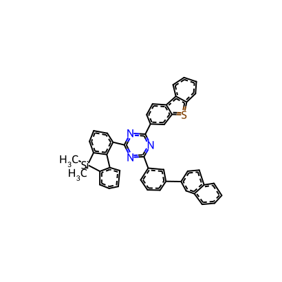 C[Si]1(C)c2ccccc2-c2c(-c3nc(-c4cccc(-c5ccc6ccccc6c5)c4)nc(-c4ccc5c(c4)sc4ccccc45)n3)cccc21